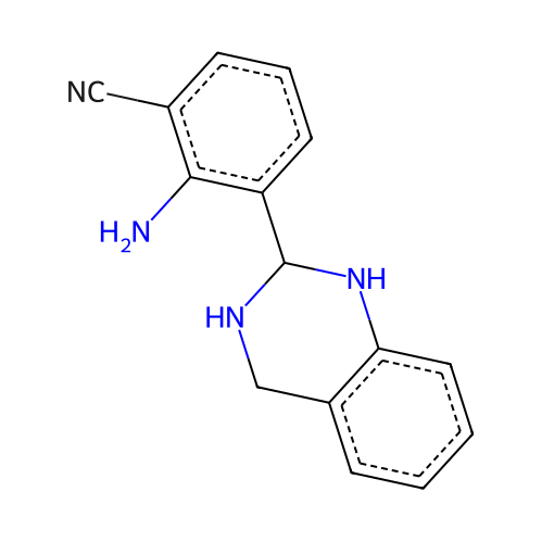 N#Cc1cccc(C2NCc3ccccc3N2)c1N